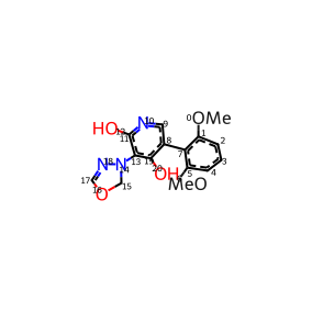 COc1cccc(OC)c1-c1cnc(O)c(N2COC=N2)c1O